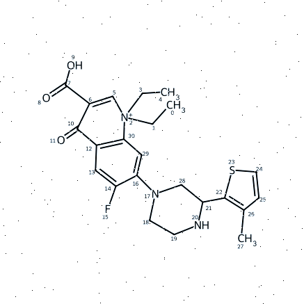 CC[N+]1(CC)C=C(C(=O)O)C(=O)c2cc(F)c(N3CCNC(c4sccc4C)C3)cc21